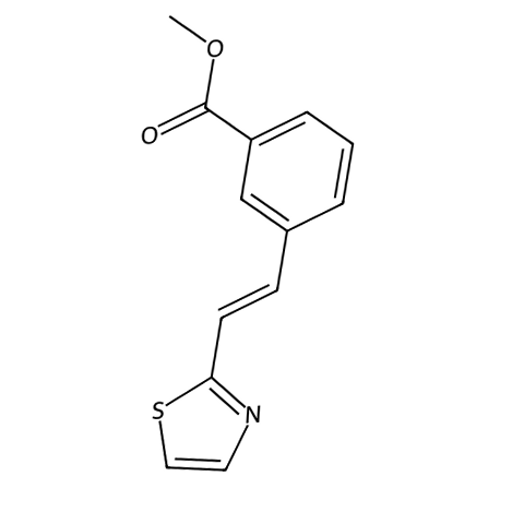 COC(=O)c1cccc(/C=C/c2nccs2)c1